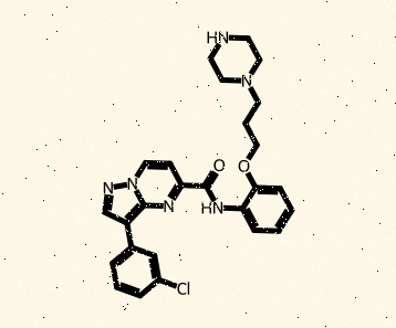 O=C(Nc1ccccc1OCCCN1CCNCC1)c1ccn2ncc(-c3cccc(Cl)c3)c2n1